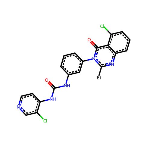 CCc1nc2cccc(Cl)c2c(=O)n1-c1cccc(NC(=O)Nc2ccncc2Cl)c1